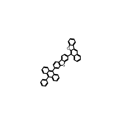 c1ccc(-c2c3ccccc3c(-c3ccc4c(c3)sc3cc(-c5c6ccccc6cc6c5oc5ccccc56)ccc34)c3ccccc23)cc1